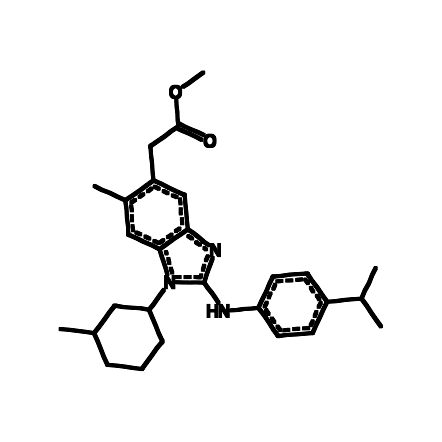 COC(=O)Cc1cc2nc(Nc3ccc(C(C)C)cc3)n(C3CCCC(C)C3)c2cc1C